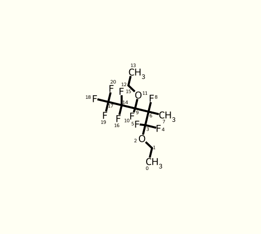 CCOC(F)(F)C(C)(F)C(F)(OCC)C(F)(F)C(F)(F)F